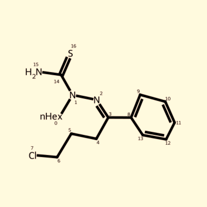 CCCCCCN(/N=C(\CCCCl)c1ccccc1)C(N)=S